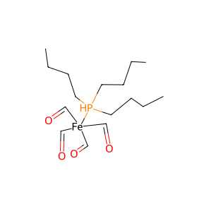 CCCC[PH](CCCC)(CCCC)[Fe]([CH]=O)([CH]=O)([CH]=O)[CH]=O